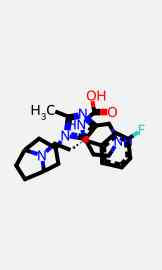 Cc1nc2c(n1C1CC3CCC(C1)N3CC[C@H](NC(=O)O)c1cccc(F)c1)CCNC2